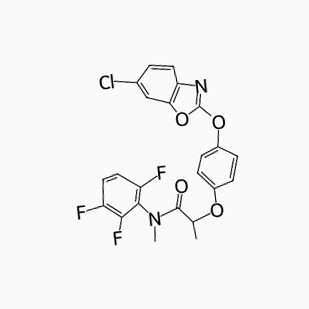 CC(Oc1ccc(Oc2nc3ccc(Cl)cc3o2)cc1)C(=O)N(C)c1c(F)ccc(F)c1F